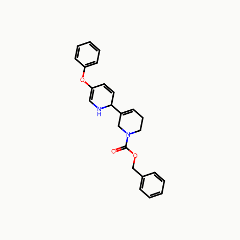 O=C(OCc1ccccc1)N1CCC=C(C2C=CC(Oc3ccccc3)=CN2)C1